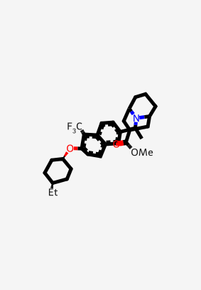 CC[C@H]1CC[C@@H](Oc2ccc3cc(C(C)N4C5CCCC4CC(C(=O)OC)C5)ccc3c2C(F)(F)F)CC1